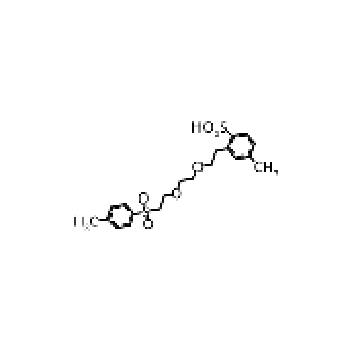 Cc1ccc(S(=O)(=O)CCOCCOCCc2cc(C)ccc2S(=O)(=O)O)cc1